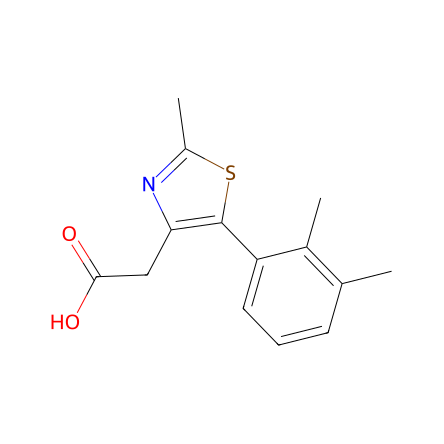 Cc1nc(CC(=O)O)c(-c2cccc(C)c2C)s1